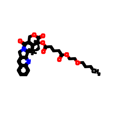 CCCCOCCOC(=O)CCCC(=O)O[C@]1(CC)C(=O)OCc2c1cc1n(c2=O)Cc2cc3ccccc3nc2-1